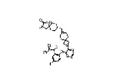 CCN(C(=O)c1cc(F)ccc1Oc1nncnc1N1CC2(CCN(C[C@H]3CC[C@@]4(CC3)CN(C)C(=O)N4)CC2)C1)C(C)C